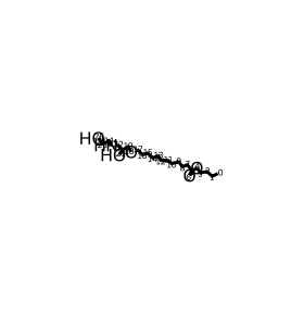 CCCCOC(=O)CCCCCCCCCCCOCC(O)CNCCO